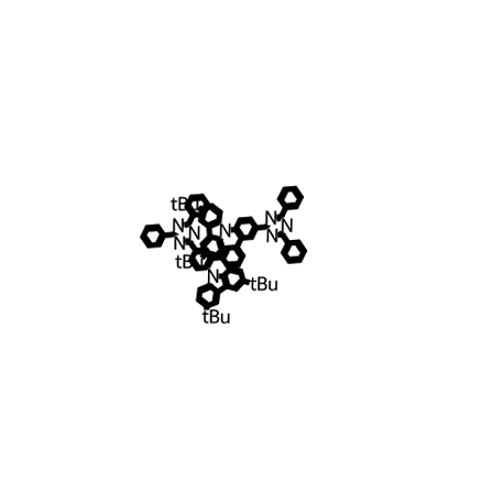 CC(C)(C)c1ccc2c(c1)c1cc(C(C)(C)C)ccc1n2-c1ccc(-c2nc(-c3ccccc3)nc(-c3ccccc3)n2)cc1-c1cccc(-c2cc(-c3nc(-c4ccccc4)nc(-c4ccccc4)n3)ccc2-n2c3ccc(C(C)(C)C)cc3c3cc(C(C)(C)C)ccc32)c1